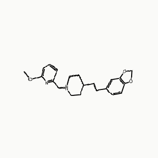 COc1cccc(CN2CCC(CCc3ccc4c(c3)OCO4)CC2)n1